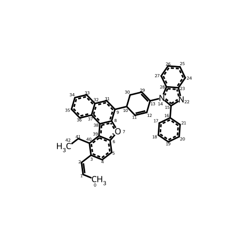 C/C=C\c1ccc2oc3c(C4C=CC(n5c(-c6ccccc6)nc6ccccc65)=CC4)cc4ccccc4c3c2c1CC